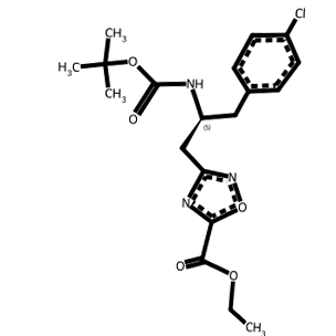 CCOC(=O)c1nc(C[C@H](Cc2ccc(Cl)cc2)NC(=O)OC(C)(C)C)no1